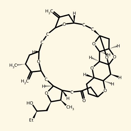 C=C1C[C@@H]2CC[C@@]34C[C@H]5OC6[C@@H](O[C@H]7CCC(CC(=O)C[C@@H]8[C@@H](C)[C@@H](C[C@H](O)CC)O[C@H]8CC8O[C@@H](CCC1O2)C[C@@H](C)C8=C)O[C@@H]7[C@@H]6O3)[C@H]5O4